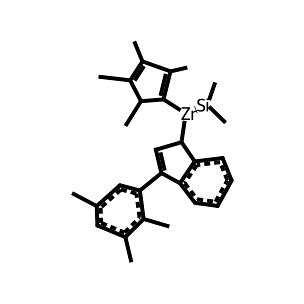 CC1=C(C)C(C)[C]([Zr]([CH]2C=C(c3cc(C)cc(C)c3C)c3ccccc32)=[Si](C)C)=C1C